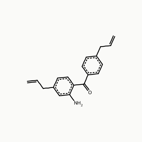 C=CCc1ccc(C(=O)c2ccc(CC=C)cc2N)cc1